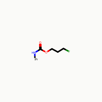 CC(C)NC(=O)OCCCF